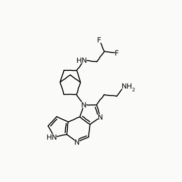 NCCc1nc2cnc3[nH]ccc3c2n1C1CC2CC(NCC(F)F)C1C2